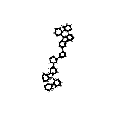 c1cc(-c2cccc(-c3ccc4c(c3)c3ccccc3n4-c3cccc4oc5ccccc5c34)c2)cc(-c2ccc3c(c2)c2ccccc2n3-c2cccc3oc4ccccc4c23)c1